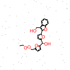 CCOOCc1ccc(C(O)c2ccc(-c3oc4ccccc4c3CO)o2)o1